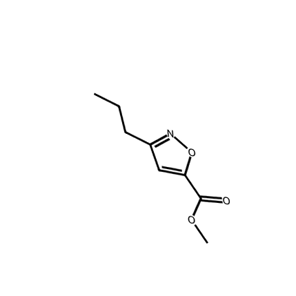 CCCc1cc(C(=O)OC)on1